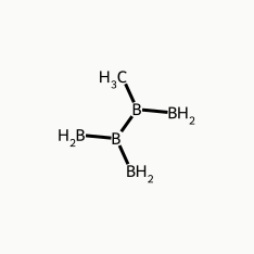 BB(B)B(B)C